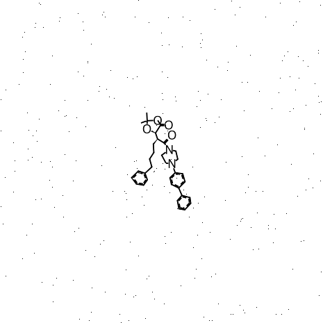 CC1(C)OC(=O)[C@@H]([C@H](CCCCc2ccccc2)C(=O)N2CCN(c3ccc(-c4ccccc4)cc3)CC2)O1